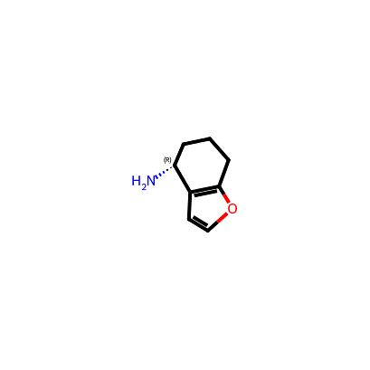 N[C@@H]1CCCc2occc21